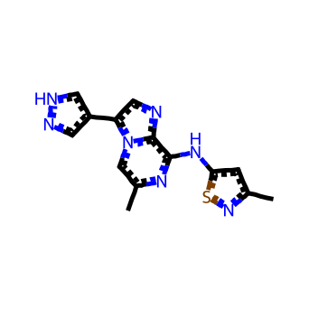 Cc1cc(Nc2nc(C)cn3c(-c4cn[nH]c4)cnc23)sn1